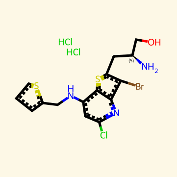 Cl.Cl.N[C@H](CO)Cc1sc2c(NCc3cccs3)cc(Cl)nc2c1Br